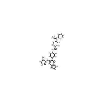 CC(=O)N(C1CCCCC1)C1CCC(NCc2ccc(C(=O)N(Cc3ncc[nH]3)Cc3ncc[nH]3)cc2)CC1